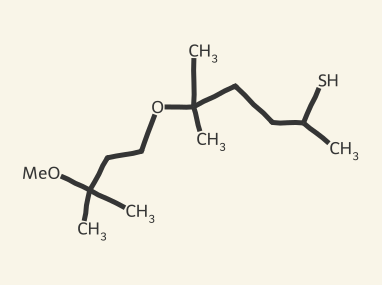 COC(C)(C)CCOC(C)(C)CCC(C)S